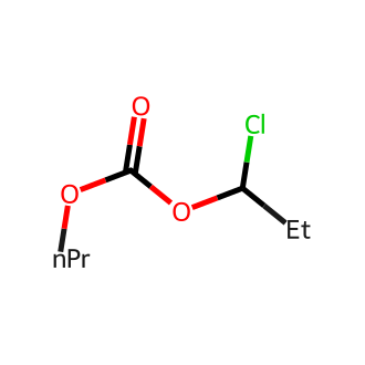 CCCOC(=O)OC(Cl)CC